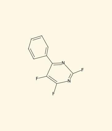 Fc1nc(F)c(F)c(-c2ccccc2)n1